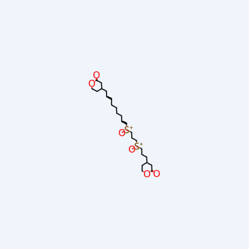 O=C1CC(CC=CCCCCC=C[S+]([O-])CCC[S+]([O-])CCCC2CCOC(=O)C2)CCO1